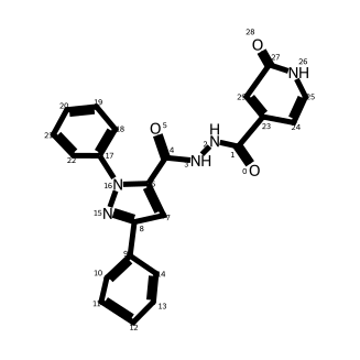 O=C(NNC(=O)c1cc(-c2ccccc2)nn1-c1ccccc1)c1cc[nH]c(=O)c1